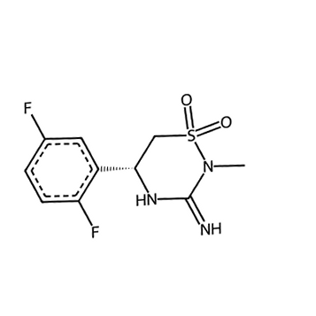 CN1C(=N)N[C@H](c2cc(F)ccc2F)CS1(=O)=O